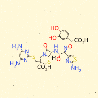 Nc1cc(N)nc(SCC2(C(=O)O)CS[C@@H]3C(NC(=O)C(=NO[C@@H](C(=O)O)c4ccc(O)c(O)c4)c4csc(N)n4)C(=O)N3C2)n1